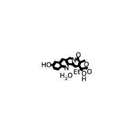 CCC1(O)C(=O)OCc2c1cc1n(c2=O)Cc2cc3cc(O)ccc3nc2-1.O